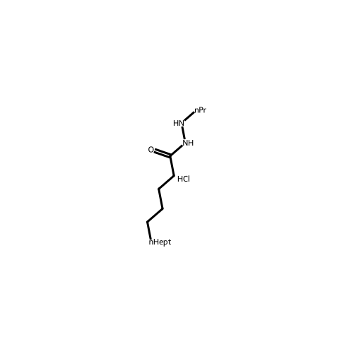 CCCCCCCCCCCC(=O)NNCCC.Cl